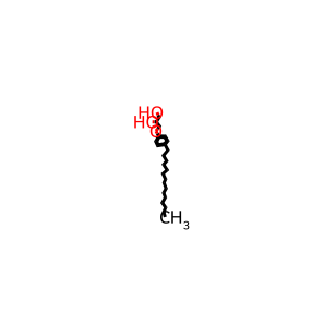 CCCCCCCCCCCCCCCc1ccc(OCC(O)CO)cc1